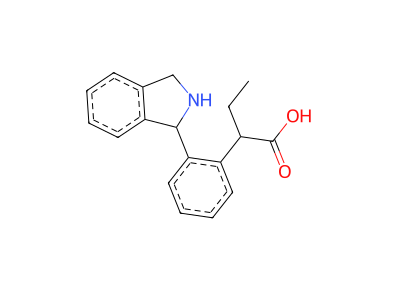 CCC(C(=O)O)c1ccccc1C1NCc2ccccc21